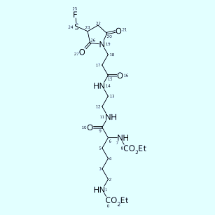 CCOC(=O)NCCCCC(NC(=O)OCC)C(=O)NCCNC(=O)CCN1C(=O)CC(SF)C1=O